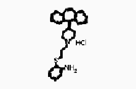 Cl.Nc1ccccc1SCCCN1CCC(=C2c3ccccc3C=Cc3ccccc32)CC1